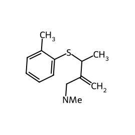 C=C(CNC)C(C)Sc1ccccc1C